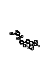 Cc1ccc(NC(=O)c2ccnc(C(C)(C)C)c2)cc1-c1ccc2c(c1)N1CCOCC1C(C)(C#N)C2